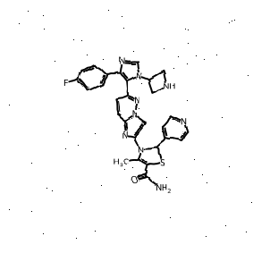 CC1=C(C(N)=O)SC(c2ccncc2)N1c1cn2nc(-c3c(-c4ccc(F)cc4)ncn3C3CNC3)ccc2n1